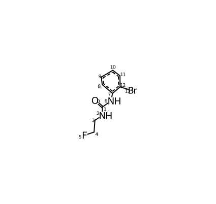 O=C(NCCF)Nc1ccccc1Br